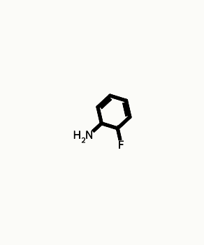 NC1C=CC=C[C]1F